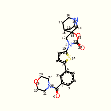 O=C(c1cccc(-c2ccc(N3C[C@@]4(CN5CCC4CC5)OC3=O)s2)c1)N1CCOCC1